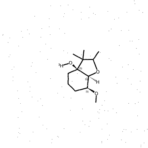 [3H]O[C@]12CCC[C@H](OC)[C@@H]1OC(C)C2(C)C